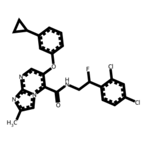 Cc1cn2c(C(=O)NCC(F)c3ccc(Cl)cc3Cl)c(Oc3cccc(C4CC4)c3)cnc2n1